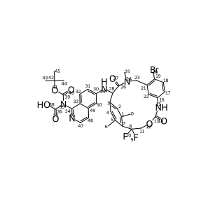 Cc1cc2cc(C)c1C(F)(F)COC(=O)Nc1ccc(Br)c(c1)CN(C)C(=O)C2Nc1ccc2c(N(C(=O)O)C(=O)OC(C)(C)C)nccc2c1